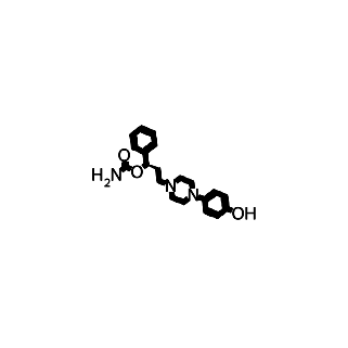 NC(=O)O[C@H](CCN1CCN(c2ccc(O)cc2)CC1)c1ccccc1